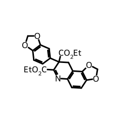 CCOC(=O)C1=Nc2ccc3c(c2CC1(C(=O)OCC)c1ccc2c(c1)OCO2)OCO3